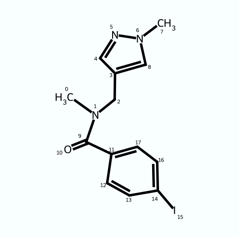 CN(Cc1cnn(C)c1)C(=O)c1ccc(I)cc1